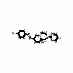 Fc1ccc(SC[C@@H]2CC[C@H]3CN(c4ncccn4)CCN3C2)cc1